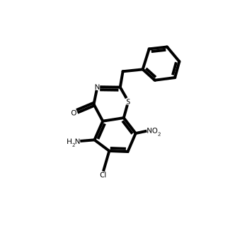 Nc1c(Cl)cc([N+](=O)[O-])c2sc(Cc3ccccc3)nc(=O)c12